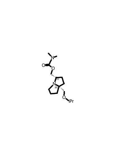 CC(C)OC[C@]12CCCN1[C@H](COC(=O)N(C)C)CC2